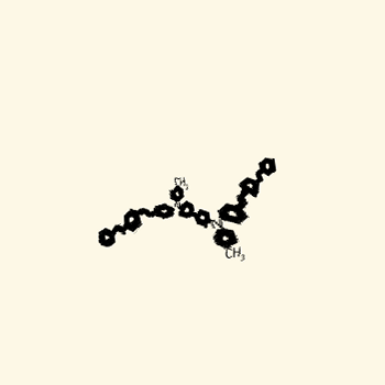 Cc1ccc(N(c2ccc(/C=C/c3ccc(/C=C/c4ccccc4)cc3)cc2)c2ccc(-c3ccc(N(c4ccc(C)cc4)c4ccc(/C=C/c5ccc(/C=C/c6ccccc6)cc5)cc4)cc3)cc2)cc1